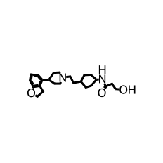 O=C(CCO)NC1CCC(CCN2CCC(c3cccc4c3CCO4)CC2)CC1